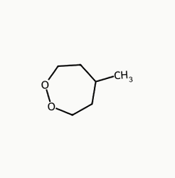 CC1CCOOCC1